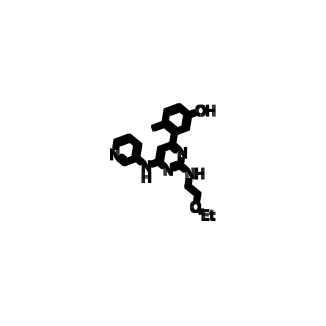 CCOCCNc1nc(Nc2cccnc2)cc(-c2cc(O)ccc2C)n1